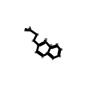 CC(=O)OCCc1ccc2ccccc2n1